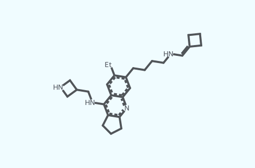 CCc1cc2c(NCC3CNC3)c3c(nc2cc1CCCCNC=C1CCC1)CCC3